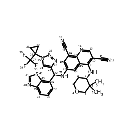 CC1(C)COCC[C@H]1Nc1c(C#N)cnc2c(C#N)cc(N[C@H](c3cn(C4(C(F)(F)F)CC4)nn3)c3cccc4ncsc34)cc12